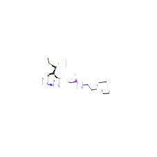 Cc1sc2ncnc(SCC(=O)NCCN3CCOCC3)c2c1Cl